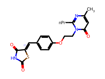 CCCc1nc(C)cc(=O)n1CCOc1ccc(/C=C2\SC(=O)NC2=O)cc1